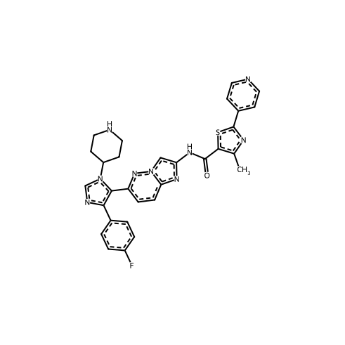 Cc1nc(-c2ccncc2)sc1C(=O)Nc1cn2nc(-c3c(-c4ccc(F)cc4)ncn3C3CCNCC3)ccc2n1